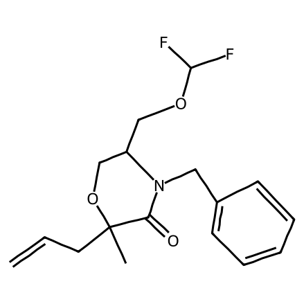 C=CCC1(C)OCC(COC(F)F)N(Cc2ccccc2)C1=O